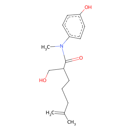 C=C(C)CCCC(CO)C(=O)N(C)c1ccc(O)cc1